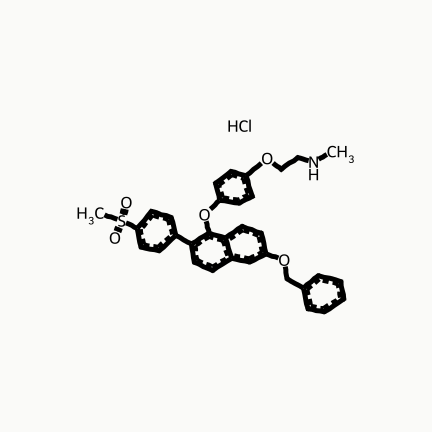 CNCCOc1ccc(Oc2c(-c3ccc(S(C)(=O)=O)cc3)ccc3cc(OCc4ccccc4)ccc23)cc1.Cl